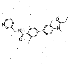 CCC(=O)N(C)c1ccc(-c2ccc(C(=O)NCc3cccnc3)c(F)c2)cc1C